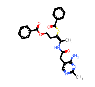 C/C(NC(=O)Cc1cnc(C)nc1N)=C(/CCOC(=O)c1ccccc1)SC(=O)c1ccccc1